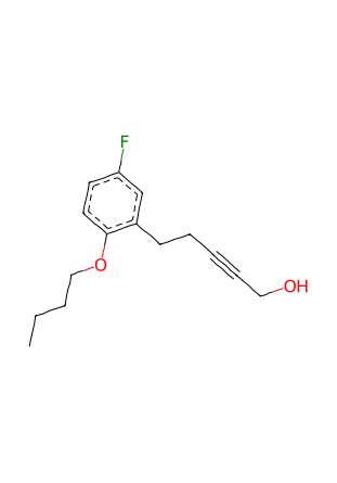 CCCCOc1ccc(F)cc1CCC#CCO